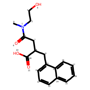 CN(CCO)C(=O)CC(Cc1cccc2ccccc12)C(=O)O